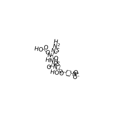 Nc1nc(C(=NOCC(=O)O)C(=O)NC2C(=O)N3CC(C=Cc4ccc([N+](=O)[O-])cc4)(C(=O)O)CS[C@H]23)cs1